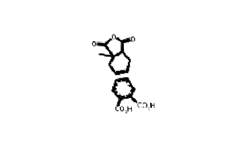 CC12CC=CCC1C(=O)OC2=O.O=C(O)c1ccccc1C(=O)O